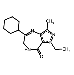 CCn1nc(C)c2c1C(=O)NCC(C1CCCCC1)=N2